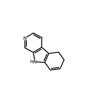 C1=Cc2[nH]c3cnccc3c2CC1